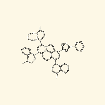 Cc1ccc(-c2cc(-c3ncc(-c4ccccc4)o3)c3ccc4c(-c5ccc(C)c6ccccc56)cc(-c5ccc(C)c6ccccc56)c5ccc2c3c45)c2ccccc12